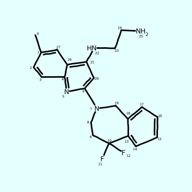 Cc1ccc2nc(N3CCC(F)(F)c4ccccc4C3)cc(NCCN)c2c1